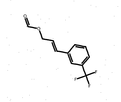 O=[C]OCC=Cc1cccc(C(F)(F)F)c1